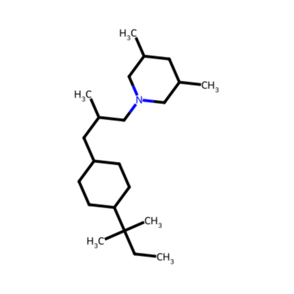 CCC(C)(C)C1CCC(CC(C)CN2CC(C)CC(C)C2)CC1